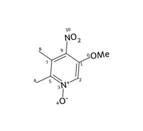 COc1c[n+]([O-])c(C)c(C)c1[N+](=O)[O-]